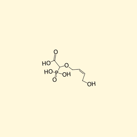 O=C(O)C(OC/C=C\CO)P(=O)(O)O